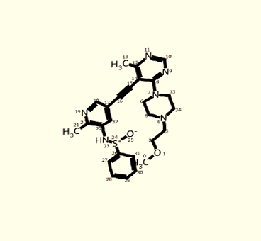 COCCN1CCN(c2ncnc(C)c2C#Cc2cnc(C)c(N[S+]([O-])c3ccccc3)c2)CC1